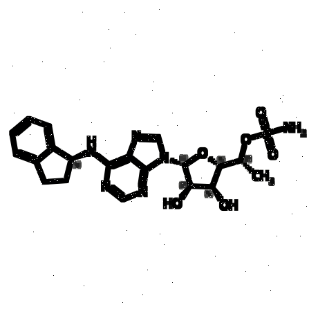 C[C@@H](OS(N)(=O)=O)[C@H]1O[C@@H](n2cnc3c(N[C@H]4CCc5ccccc54)ncnc32)[C@H](O)[C@@H]1O